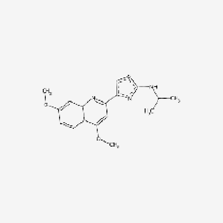 COC1=CC2N=C(c3csc(NC(C)C)n3)C=C(OC)C2C=C1